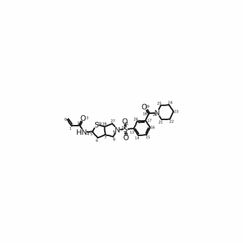 C=CC(=O)NC1CC2CN(S(=O)(=O)c3cccc(C(=O)N4CCCCC4)c3)CC2S1